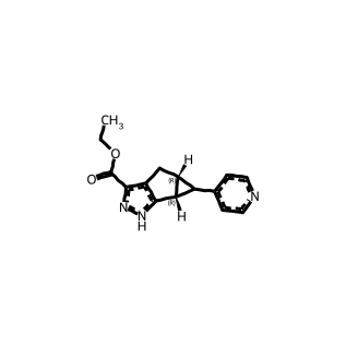 CCOC(=O)c1n[nH]c2c1C[C@@H]1C(c3ccncc3)[C@H]21